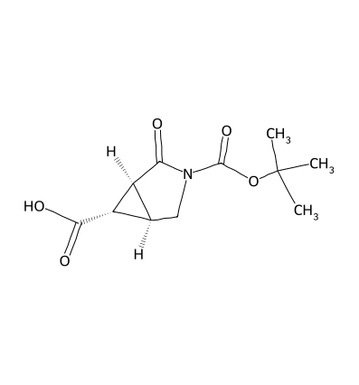 CC(C)(C)OC(=O)N1C[C@H]2[C@H](C(=O)O)[C@H]2C1=O